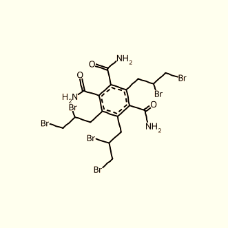 NC(=O)c1c(CC(Br)CBr)c(CC(Br)CBr)c(C(N)=O)c(C(N)=O)c1CC(Br)CBr